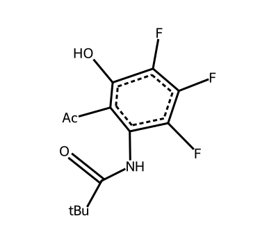 CC(=O)c1c(O)c(F)c(F)c(F)c1NC(=O)C(C)(C)C